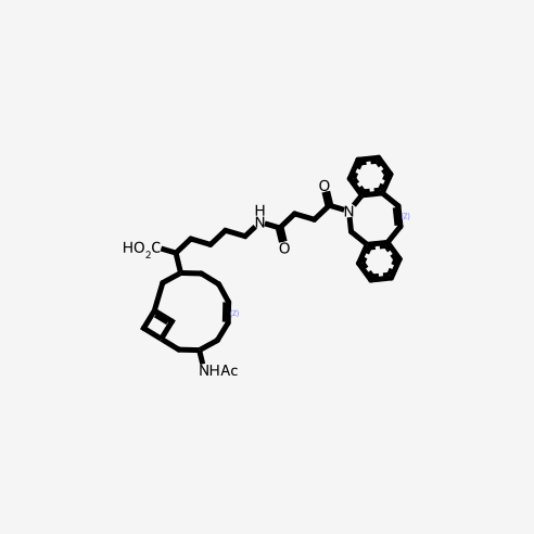 CC(=O)NC1C/C=C\CCC(C(CCCCNC(=O)CCC(=O)N2Cc3ccccc3/C=C\c3ccccc32)C(=O)O)CC2=CC(C2)C1